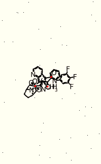 Cn1c(C(=O)Nc2cc(F)c(F)c(F)c2)c2cccnc2c1S(=O)(=O)N1C2CCC1CC(O)(c1cc(-c3ccccc3)on1)C2